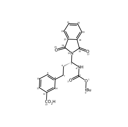 CC(C)(C)OC(=O)N[C@H](CCc1cccc(C(=O)O)c1)N1C(=O)c2ccccc2C1=O